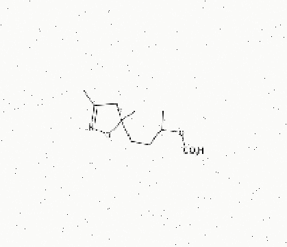 CC1=NOC2(CCC(OC(=O)O)CC2)C1